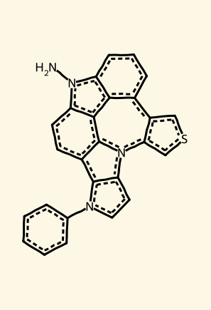 Nn1c2cccc3c4cscc4n4c5ccn(-c6ccccc6)c5c5ccc1c(c32)c54